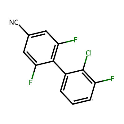 N#Cc1cc(F)c(-c2cc[c]c(F)c2Cl)c(F)c1